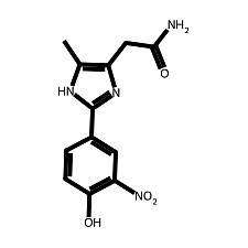 Cc1[nH]c(-c2ccc(O)c([N+](=O)[O-])c2)nc1CC(N)=O